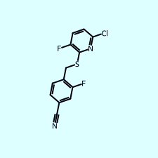 N#Cc1ccc(CSc2nc(Cl)ccc2F)c(F)c1